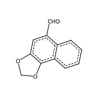 O=[C]c1cc2c(c3ccccc13)OCO2